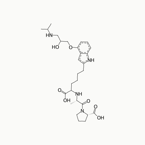 CC(C)NCC(O)COc1cccc2[nH]c(CCCCC(N[C@@H](C)C(=O)N3CCC[C@H]3C(=O)O)C(=O)O)cc12